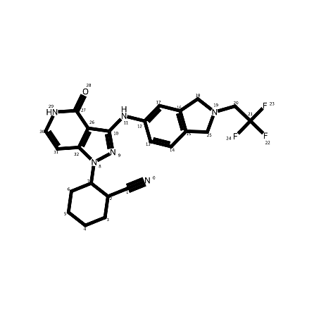 N#CC1CCCCC1n1nc(Nc2ccc3c(c2)CN(CC(F)(F)F)C3)c2c(=O)[nH]ccc21